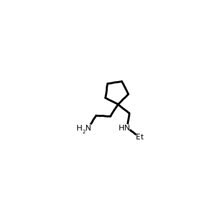 CCNCC1(CCN)CCCC1